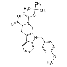 COc1ccc(Cn2c3c(c4ccccc42)CC(C(=O)O)N(C(=O)OC(C)(C)C)C3)cn1